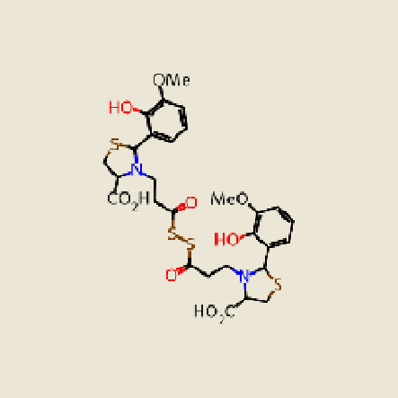 COc1cccc(C2SCC(C(=O)O)N2CCC(=O)SSC(=O)CCN2C(C(=O)O)CSC2c2cccc(OC)c2O)c1O